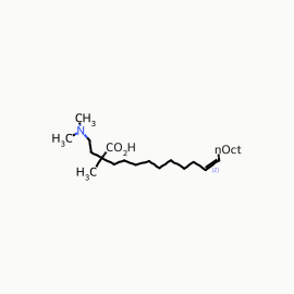 CCCCCCCC/C=C\CCCCCCCCC(C)(CCN(C)C)C(=O)O